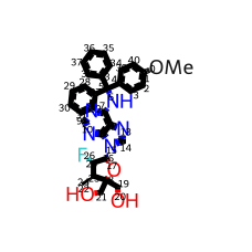 COc1ccc(C(Nc2ncnc3c2ncn3[C@@H]2OC(CO)(CO)[C@@H](C)[C@H]2F)(c2ccccc2)c2ccccc2)cc1